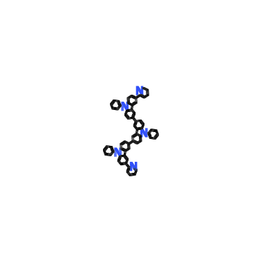 c1ccc(-n2c3ccc(-c4ccc5c(c4)c4cc(-c6ccccn6)ccc4n5-c4ccccc4)cc3c3cc(-c4ccc5c(c4)c4cc(-c6ccccn6)ccc4n5-c4ccccc4)ccc32)cc1